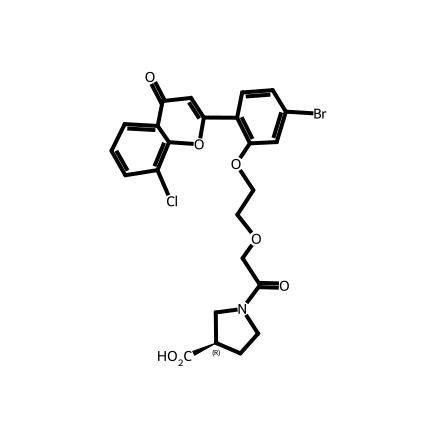 O=C(O)[C@@H]1CCN(C(=O)COCCOc2cc(Br)ccc2-c2cc(=O)c3cccc(Cl)c3o2)C1